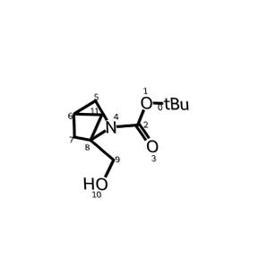 CC(C)(C)OC(=O)N1CC2CC1(CO)C2